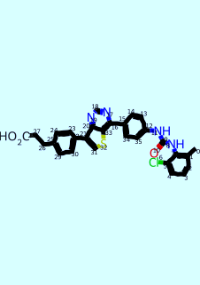 Cc1cccc(Cl)c1NC(=O)Nc1ccc(-c2ncnc3c(-c4ccc(CCC(=O)O)cc4)csc23)cc1